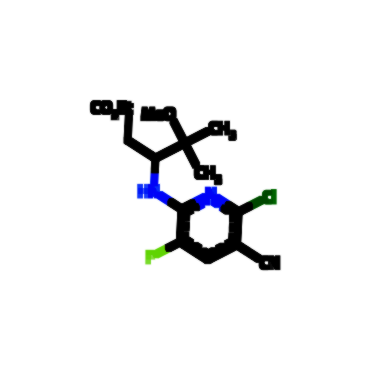 CCOC(=O)CC(Nc1nc(Cl)c(C#N)cc1F)C(C)(C)OC